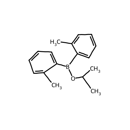 Cc1ccccc1B(OC(C)C)c1ccccc1C